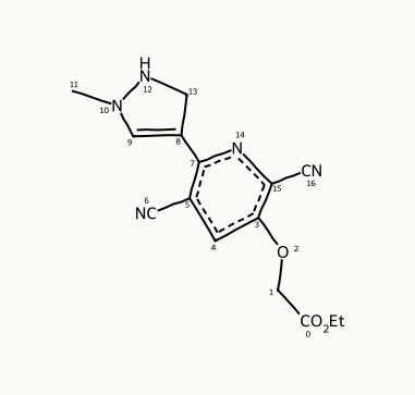 CCOC(=O)COc1cc(C#N)c(C2=CN(C)NC2)nc1C#N